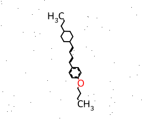 CCCCOc1ccc(C=CC=CC2CCC(CCC)CC2)cc1